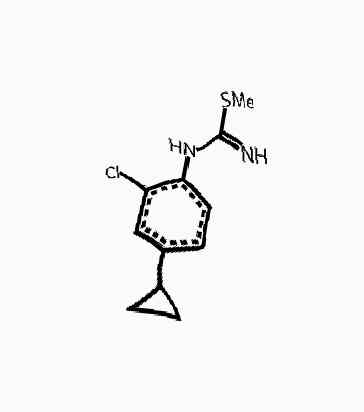 CSC(=N)Nc1ccc(C2CC2)cc1Cl